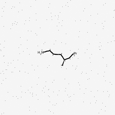 CC(C)C[C@@H](C)CCCN